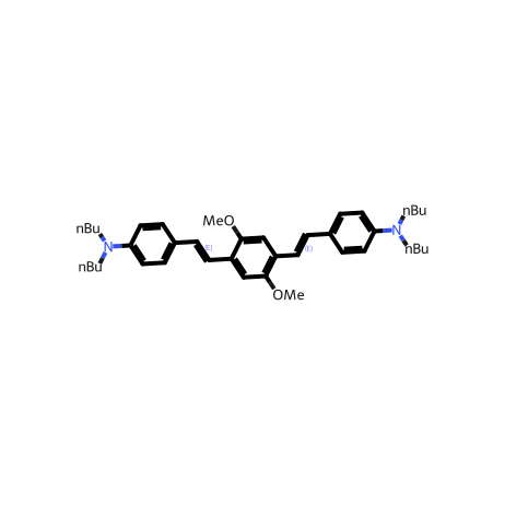 CCCCN(CCCC)c1ccc(/C=C/c2cc(OC)c(/C=C/c3ccc(N(CCCC)CCCC)cc3)cc2OC)cc1